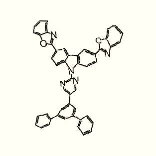 c1ccc(-c2cc(-c3ccccc3)cc(-c3cnc(-n4c5ccc(-c6nc7ccccc7o6)cc5c5cc(-c6nc7ccccc7o6)ccc54)nc3)c2)cc1